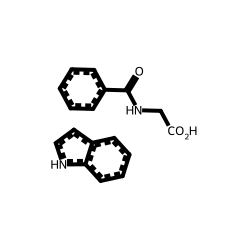 O=C(O)CNC(=O)c1ccccc1.c1ccc2[nH]ccc2c1